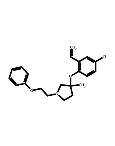 C=Cc1cc(Cl)ccc1OC1(C)CCN(CCOc2ccccc2)C1